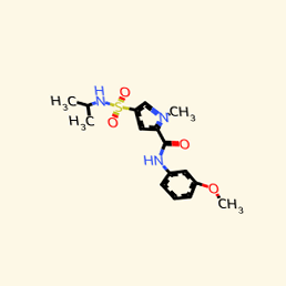 COc1cccc(NC(=O)c2cc(S(=O)(=O)NC(C)C)cn2C)c1